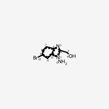 Nn1c(CO)nc2ccc(Br)cc21